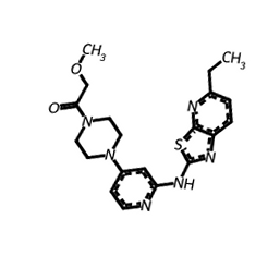 CCc1ccc2nc(Nc3cc(N4CCN(C(=O)COC)CC4)ccn3)sc2n1